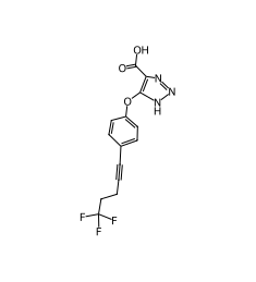 O=C(O)c1nn[nH]c1Oc1ccc(C#CCCC(F)(F)F)cc1